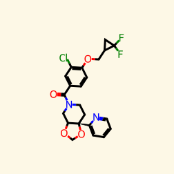 O=C(c1ccc(OCC2CC2(F)F)c(Cl)c1)N1CC[C@]2(c3ccccn3)OCOC2C1